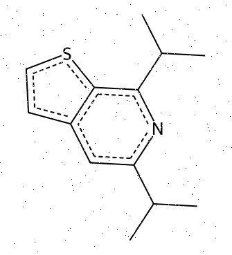 CC(C)c1cc2ccsc2c(C(C)C)n1